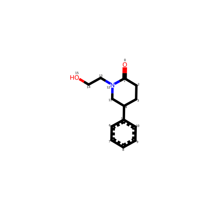 O=C1CCC(c2ccccc2)CN1CCO